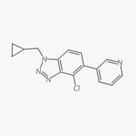 Clc1c(-c2cccnc2)ccc2c1nnn2CC1CC1